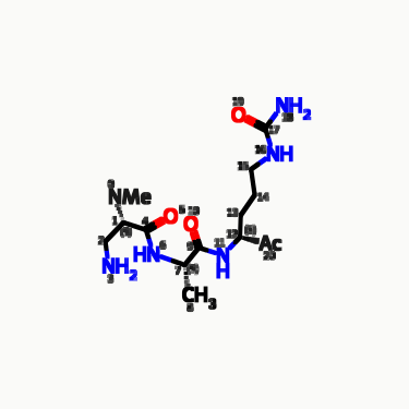 CN[C@@H](CN)C(=O)N[C@@H](C)C(=O)N[C@@H](CCCNC(N)=O)C(C)=O